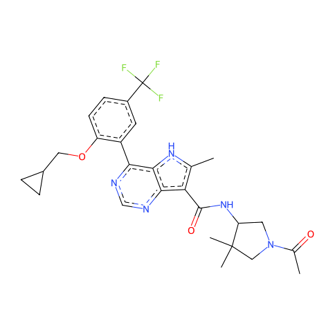 CC(=O)N1CC(NC(=O)c2c(C)[nH]c3c(-c4cc(C(F)(F)F)ccc4OCC4CC4)ncnc23)C(C)(C)C1